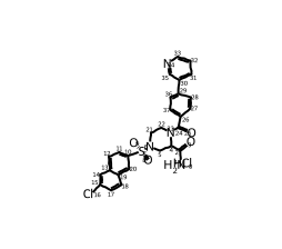 Cl.NC(=O)C1CN(S(=O)(=O)c2ccc3cc(Cl)ccc3c2)CCN1C(=O)c1ccc(-c2cccnc2)cc1